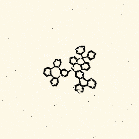 c1ccc(C2(c3ccccc3)c3ccccc3-c3c(N(c4ccc5c(c4)-c4ccccc4-c4ccccc4-c4ccccc4-5)c4ccc5c6ccccc6c6ccccc6c5c4)cccc32)cc1